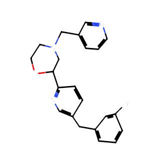 FC(F)(F)c1cccc(Cc2ccc(C3CN(Cc4cccnc4)CCO3)nc2)c1